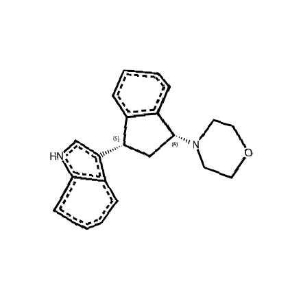 c1ccc2c(c1)[C@@H](c1c[nH]c3ccccc13)C[C@H]2N1CCOCC1